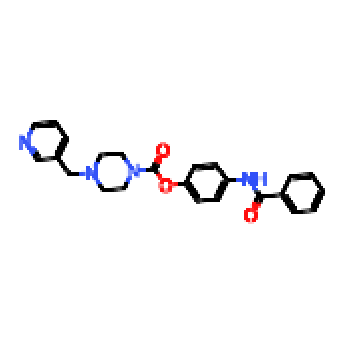 O=C(Nc1ccc(OC(=O)N2CCN(Cc3cccnc3)CC2)cc1)c1ccccc1